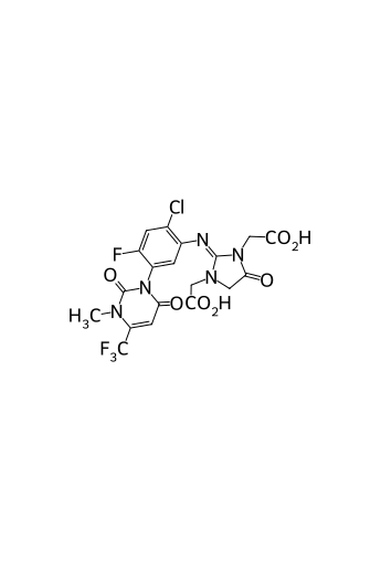 Cn1c(C(F)(F)F)cc(=O)n(-c2cc(N=C3N(CC(=O)O)CC(=O)N3CC(=O)O)c(Cl)cc2F)c1=O